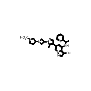 Cc1c(-c2cc(NC(C)c3ccccn3)c3c(C#N)cnn3c2)cnn1C1CN([C@H]2CCN(C(=O)O)C2)C1